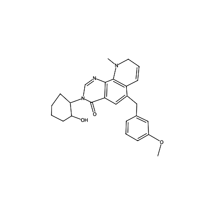 COc1cccc(Cc2cc3c(=O)n(C4CCCCC4O)cnc3c3c2C=CCN3C)c1